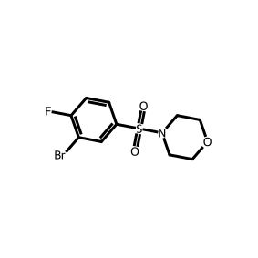 O=S(=O)(c1ccc(F)c(Br)c1)N1CCOCC1